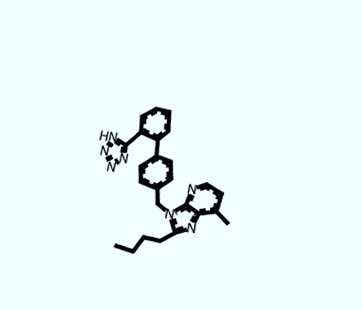 CCCCc1nc2c(C)ccnc2n1Cc1ccc(-c2ccccc2-c2nnn[nH]2)cc1